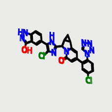 O=c1cc(-c2cc(Cl)ccc2-n2cnnn2)cc2n1C(c1nc(Cl)c(-c3ccc4[nH]nc(O)c4c3)[nH]1)C1CC21